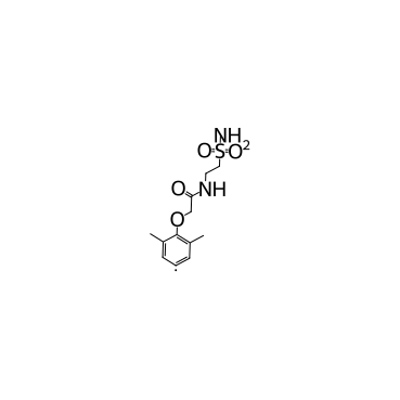 Cc1c[c]cc(C)c1OCC(=O)NCCS(N)(=O)=O